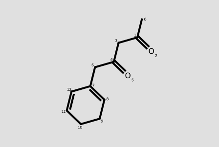 CC(=O)CC(=O)CC1=CCCC=C1